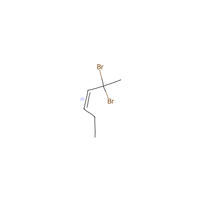 CC/C=C\C(C)(Br)Br